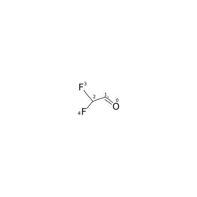 O=[C]C(F)F